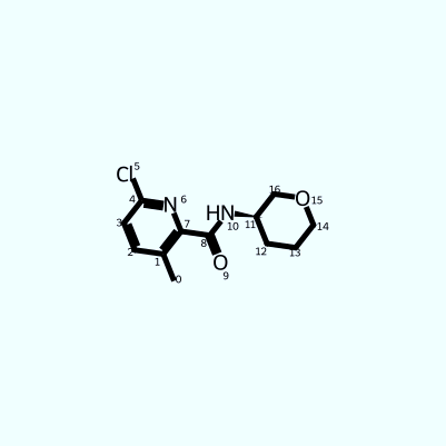 Cc1ccc(Cl)nc1C(=O)N[C@@H]1CCCOC1